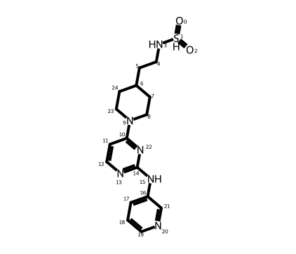 O=[SH](=O)NCCC1CCN(c2ccnc(Nc3cccnc3)n2)CC1